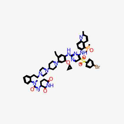 CCc1cc(Nc2ncc(S(=O)(=O)c3ccc(Br)cc3)c(Nc3ccc4nc(C)ccc4c3P(C)(C)=O)n2)c(OC2CC2)cc1N1CCC(N2CCN(CCc3ccccc3N(C)C(=O)N(C)C3CCC(=O)NC3=O)CC2)CC1